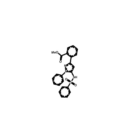 COC(=O)c1ccccc1-c1cc(NS(=O)(=O)c2ccccc2)n(-c2ccccc2)n1